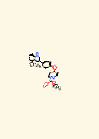 COc1cccc2ncc(-c3ccc(OC4CCN(C(=O)OC(C)(C)C)CC4)cc3)cc12